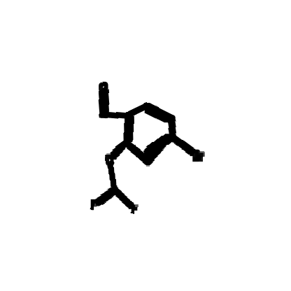 O=Cc1ccc(Br)cc1OC(F)F